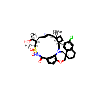 CO[C@H]1/C=C/C[C@H]([C@H](C)O)[C@@H](C)S(=O)(=O)NC(=O)c2ccc3c(c2)N(C[C@@H]2CC[C@H]21)C[C@@]1(CCCc2cc(Cl)ccc21)CO3